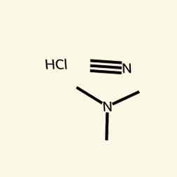 C#N.CN(C)C.Cl